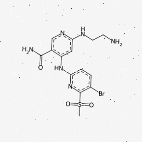 CS(=O)(=O)c1nc(Nc2cc(NCCN)ncc2C(N)=O)ccc1Br